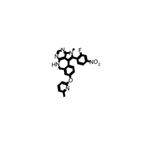 Cc1cccc(Oc2ccc3c(c2)CNc2ncnc4c2c-3c(-c2ccc([N+](=O)[O-])cc2F)n4C)n1